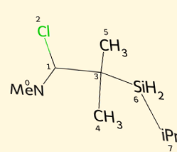 CNC(Cl)C(C)(C)[SiH2]C(C)C